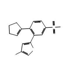 Cc1csc(-c2cc(S(C)(=O)=O)ccc2C2=CCCC2)c1